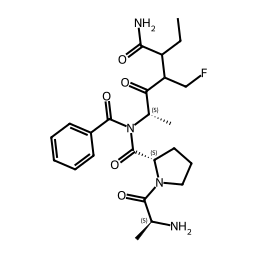 CCC(C(N)=O)C(CF)C(=O)[C@H](C)N(C(=O)c1ccccc1)C(=O)[C@@H]1CCCN1C(=O)[C@H](C)N